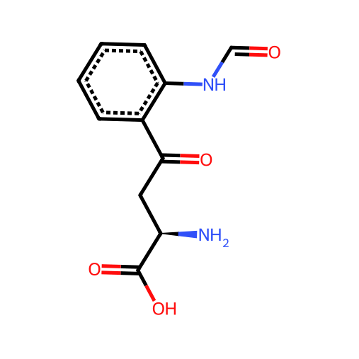 N[C@H](CC(=O)c1ccccc1NC=O)C(=O)O